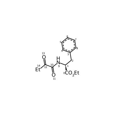 CCOC(=O)[C@H](Cc1ccccc1)NC(=O)C(=O)CC